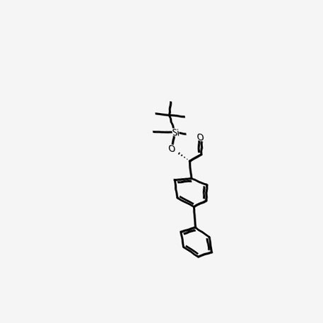 CC(C)(C)[Si](C)(C)O[C@H](C=O)c1ccc(-c2ccccc2)cc1